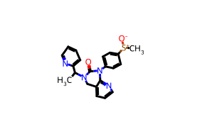 CC(c1ccccn1)N1Cc2cccnc2N(c2ccc([S+](C)[O-])cc2)C1=O